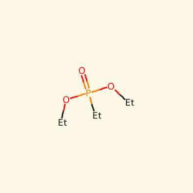 CCOP(=O)(CC)OCC